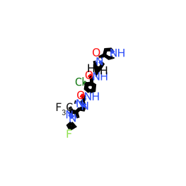 Cn1c(-c2cn(C3C=C(F)C3)nc2C(F)(F)F)cnc1C(=O)Nc1ccc(C(=O)N[C@H]2[C@@H]3CN(C(=O)C4CCNCC4)C[C@@H]32)c(Cl)c1